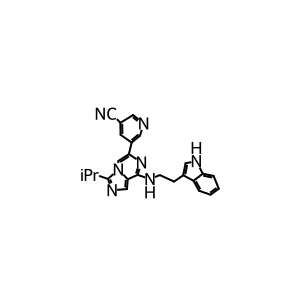 CC(C)c1ncc2c(NCCc3c[nH]c4ccccc34)nc(-c3cncc(C#N)c3)cn12